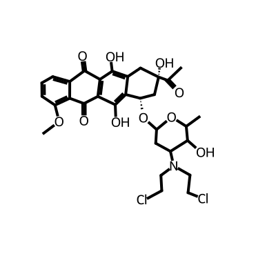 COc1cccc2c1C(=O)c1c(O)c3c(c(O)c1C2=O)C[C@@](O)(C(C)=O)C[C@@H]3OC1CC(N(CCCl)CCCl)C(O)C(C)O1